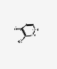 CC1=C(Cl)C=CNN1